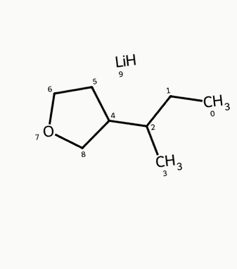 CCC(C)C1CCOC1.[LiH]